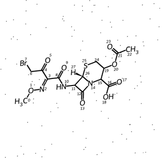 CON=C(C(=O)CBr)C(=O)NC1C(=O)N2C(C(=O)O)C(OC(C)=O)CS[C@@H]12